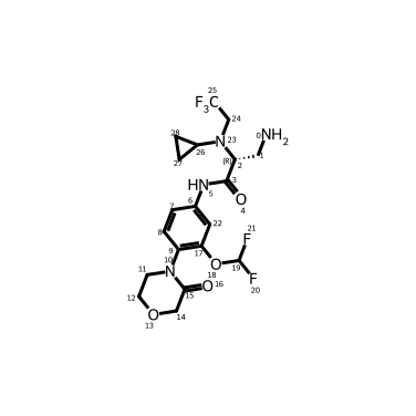 NC[C@H](C(=O)Nc1ccc(N2CCOCC2=O)c(OC(F)F)c1)N(CC(F)(F)F)C1CC1